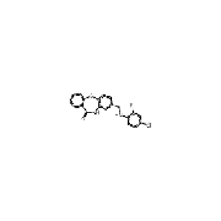 O=C1Nc2cc(SNc3ccc(Cl)cc3F)ccc2Sc2ccccc21